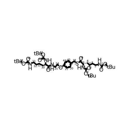 CC(C)(C)OC(=O)NCCCC[C@H](NC(=O)OC(C)(C)C)C(=O)SCc1ccc(OCCNC(=O)[C@@H](CCCCNC(=O)OC(C)(C)C)NC(=O)OC(C)(C)C)cc1